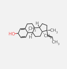 C/C=C/[C@@]1(C)CC[C@H]2C3CCC4=CC(O)C=C[C@]4(C)[C@H]3CC[C@@]21C